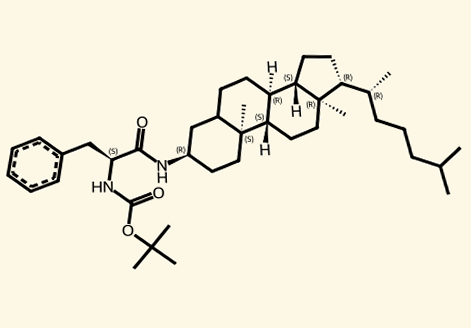 CC(C)CCC[C@@H](C)[C@H]1CC[C@H]2[C@@H]3CCC4C[C@H](NC(=O)[C@H](Cc5ccccc5)NC(=O)OC(C)(C)C)CC[C@]4(C)[C@H]3CC[C@]12C